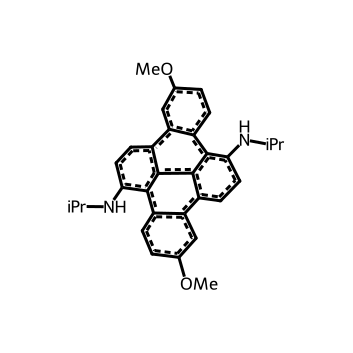 COc1ccc2c(c1)c1ccc(NC(C)C)c3c4ccc(OC)cc4c4ccc(NC(C)C)c2c4c13